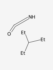 CCC(CC)CC.N=C=O